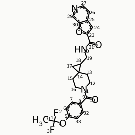 CC(F)(F)Oc1ccc(C(=O)N2CCC3(CC2)CC3CNC(=O)c2cc3ccncc3o2)cc1